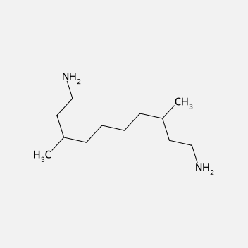 CC(CCN)CCCCC(C)CCN